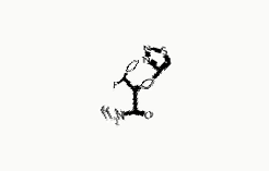 NC(=O)C(Oc1csnn1)C(F)Cl